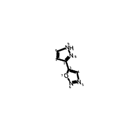 c1cc(-c2cnno2)n[nH]1